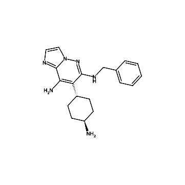 Nc1c2nccn2nc(NCc2ccccc2)c1[C@H]1CC[C@H](N)CC1